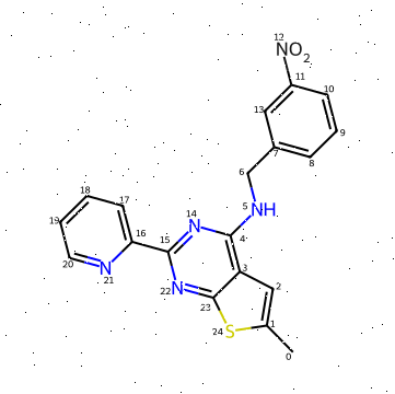 Cc1cc2c(NCc3cccc([N+](=O)[O-])c3)nc(-c3ccccn3)nc2s1